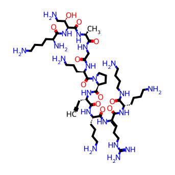 C#CC[C@H](NC(=O)[C@@H]1CCCN1C(=O)[C@@H](CCCN)NC(=O)CNC(=O)[C@H](C)NC(=O)[C@@H](NC(=O)[C@@H](N)CCCCN)[C@@H](O)CN)C(=O)N[C@@H](CCCCN)C(=O)N/C(=C\CCNC(=N)N)C(=O)N[C@@H](CCCCN)C(=O)NCCCCN